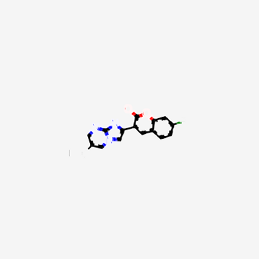 Cc1cnc2nc(-c3cc4ccc(F)cc4oc3=O)cn2c1